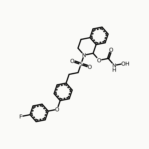 O=C(NO)OC1c2ccccc2CCN1S(=O)(=O)CCc1ccc(Oc2ccc(F)cc2)cc1